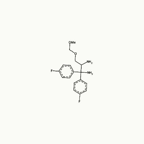 COCOCC(N)C(N)(c1ccc(F)cc1)c1ccc(F)cc1